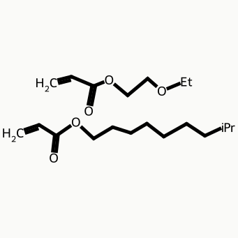 C=CC(=O)OCCCCCCCC(C)C.C=CC(=O)OCCOCC